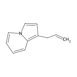 C=CCc1ccn2ccccc12